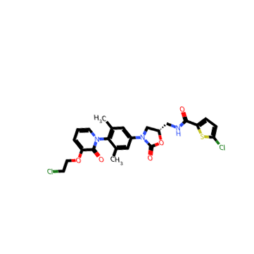 Cc1cc(N2C[C@H](CNC(=O)c3ccc(Cl)s3)OC2=O)cc(C)c1-n1cccc(OCCCl)c1=O